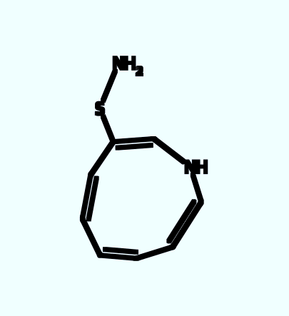 NSc1cccccc[nH]c1